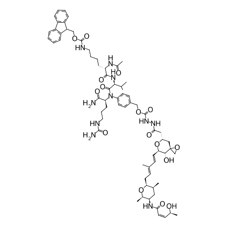 CC(=O)N[C@@H](CCCCNC(=O)OCC1c2ccccc2-c2ccccc21)C(=O)N[C@H](C(=O)N(c1ccc(COC(=O)NNC(=O)C[C@@H]2C[C@@]3(CO3)[C@H](O)[C@@H](/C=C/C(C)=C/C[C@@H]3O[C@H](C)[C@H](NC(=O)/C=C\[C@H](C)O)C[C@@H]3C)O2)cc1)[C@@H](CCCNC(N)=O)C(N)=O)C(C)C